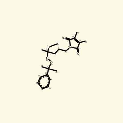 COC(C)(CCCN1C(=O)C(C)=C(C)C1=O)OOC(C)(C)c1ccccc1